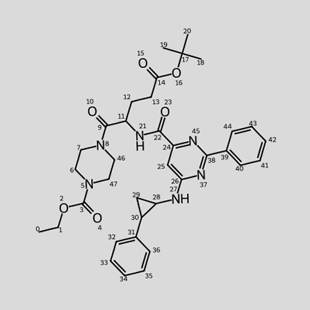 CCOC(=O)N1CCN(C(=O)C(CCC(=O)OC(C)(C)C)NC(=O)c2cc(NC3CC3c3ccccc3)nc(-c3ccccc3)n2)CC1